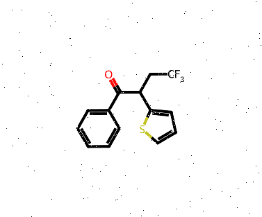 O=C(c1ccccc1)C(CC(F)(F)F)c1cccs1